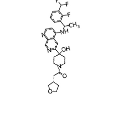 C[C@@H](Nc1ccnc2cnc(C3(O)CCN(C(=O)C[C@@H]4CCOC4)CC3)cc12)c1cccc(C(F)F)c1F